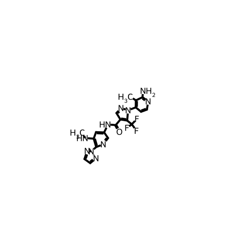 CNc1cc(NC(=O)c2cnn(-c3ccnc(N)c3C)c2C(F)(F)F)cnc1-n1nccn1